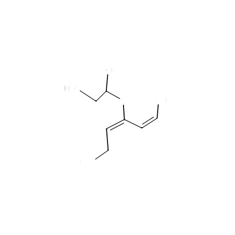 C/C=C\C(=C/CC)SC(C)CC